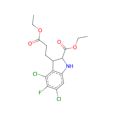 CCOC(=O)CCC1c2c(cc(Cl)c(F)c2Cl)NC1C(=O)OCC